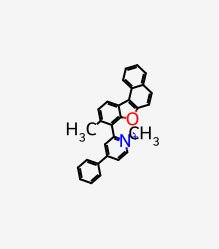 Cc1ccc2c(oc3ccc4ccccc4c32)c1-c1cc(-c2ccccc2)cc[n+]1C